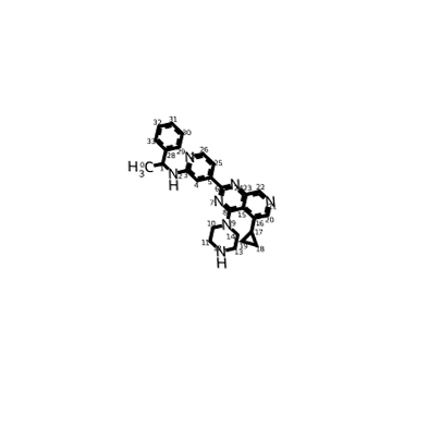 CC(Nc1cc(-c2nc(N3CCNCC3)c3c(C4CC4)cncc3n2)ccn1)c1ccccc1